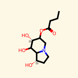 CCCC(=O)OC1CN2CC[C@H](O)C2C(O)[C@@H]1O